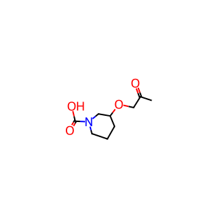 CC(=O)COC1CCCN(C(=O)O)C1